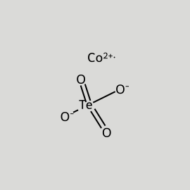 O=[Te](=O)([O-])[O-].[Co+2]